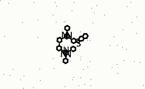 c1ccc(-c2nc(-c3cccc(-c4cccc(-c5nc(-c6ccccc6)nc(-c6ccccc6)n5)c4)c3)cc(-c3ccc4sc5cc6ccccc6cc5c4c3)n2)cc1